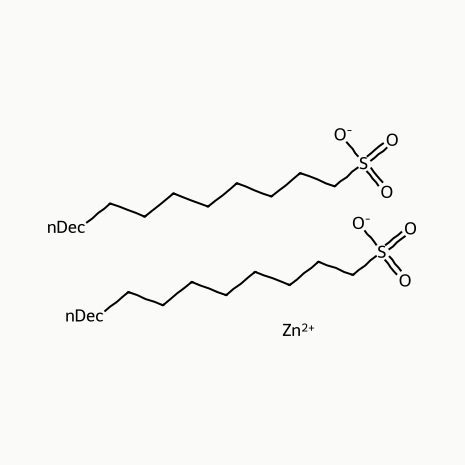 CCCCCCCCCCCCCCCCCCS(=O)(=O)[O-].CCCCCCCCCCCCCCCCCCS(=O)(=O)[O-].[Zn+2]